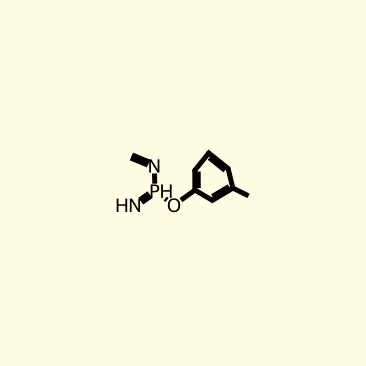 C=N[PH](=N)Oc1cccc(C)c1